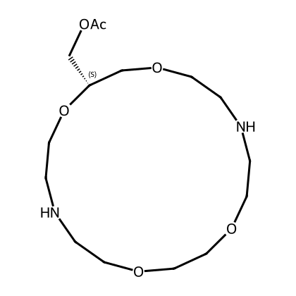 CC(=O)OC[C@@H]1COCCNCCOCCOCCNCCO1